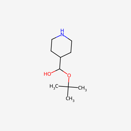 CC(C)(C)OC(O)C1CCNCC1